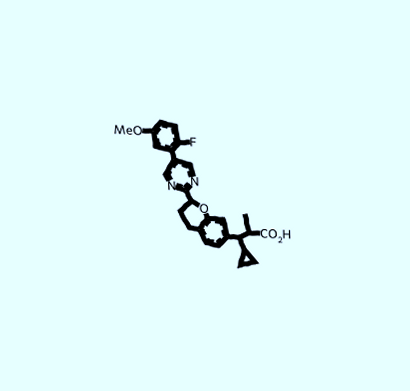 COc1ccc(F)c(-c2cnc(C3CCc4ccc(C(C5CC5)C(C)C(=O)O)cc4O3)nc2)c1